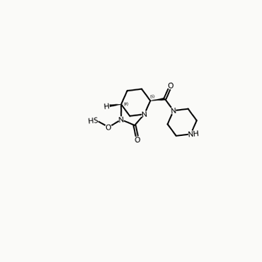 O=C([C@@H]1CC[C@@H]2CN1C(=O)N2OS)N1CCNCC1